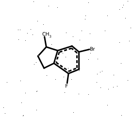 CC1CCc2c(F)cc(Br)cc21